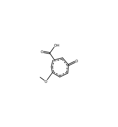 COc1ccc(=O)cc(C(=O)O)c1